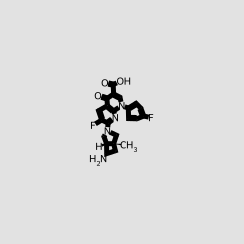 C[C@]12C[C@H](N)[C@@H]1CN(c1nc3c(cc1F)c(=O)c(C(=O)O)cn3-c1ccc(F)cc1)C2